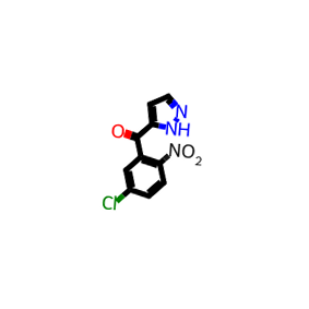 O=C(c1ccn[nH]1)c1cc(Cl)ccc1[N+](=O)[O-]